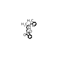 Cc1cccnc1CNC(C)CCCN1C(=O)c2ccccc2C1=O